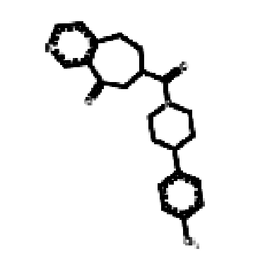 Cc1ccc(C2CCN(C(=O)C3CCc4ccncc4C(=O)C3)CC2)cc1